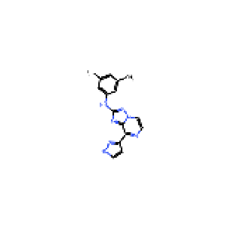 Cc1cc(C)cc(Nc2nc3c(-c4cc[nH]n4)nccn3n2)c1